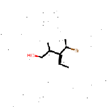 C/C=C(/C(C)CO)[C@@H](C)Br